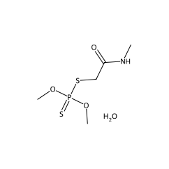 CNC(=O)CSP(=S)(OC)OC.O